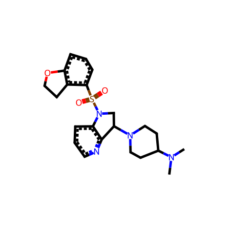 CN(C)C1CCN(C2CN(S(=O)(=O)c3cccc4c3CCO4)c3cccnc32)CC1